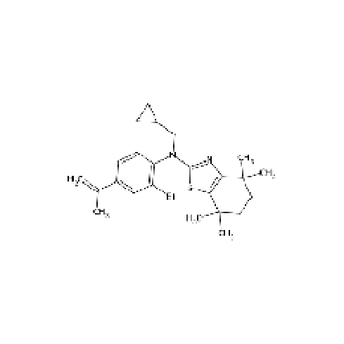 C=C(C)c1ccc(N(CC2CC2)c2nc3c(s2)C(C)(C)CCC3(C)C)c(CC)c1